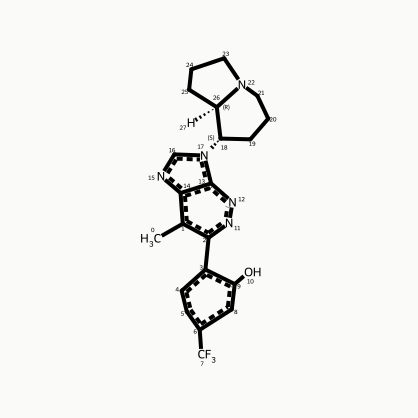 Cc1c(-c2ccc(C(F)(F)F)cc2O)nnc2c1ncn2[C@H]1CCCN2CCC[C@H]12